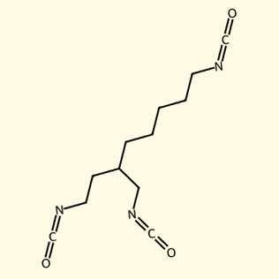 O=C=NCCCCCC(CCN=C=O)CN=C=O